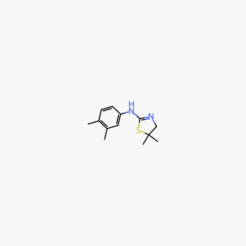 Cc1ccc(NC2=NCC(C)(C)S2)cc1C